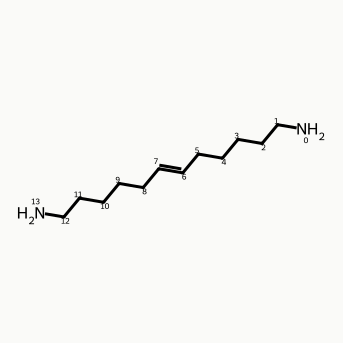 NCCCCCC=CCCCCCN